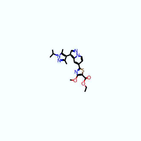 CCOC(=O)c1sc(-c2ccn3ncc(-c4c(C)nn(C(C)C)c4C)c3c2)nc1OC